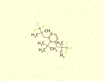 CC(C)(C)c1c(CC(C)(C)C(F)(F)F)cccc1CC(C)(C)C(F)(F)F